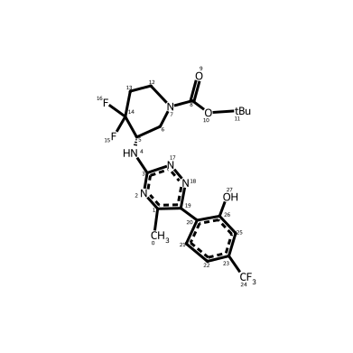 Cc1nc(N[C@H]2CN(C(=O)OC(C)(C)C)CCC2(F)F)nnc1-c1ccc(C(F)(F)F)cc1O